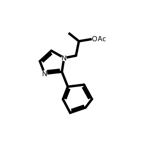 CC(=O)OC(C)Cn1ccnc1-c1ccccc1